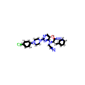 N#CCN(c1ccnc(N2CCN(c3ccc(Cl)cc3)CC2)n1)[C@@H](Cc1ccccc1)C(N)=O